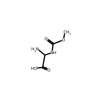 COC(=O)NC(N)C(=O)O